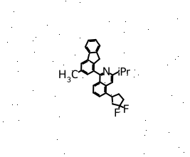 Cc1cc2c(c(-c3nc(C(C)C)cc4c(C5CCC(F)(F)C5)cccc34)c1)Cc1ccccc1-2